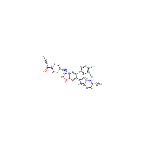 CC#CC(=O)N1CCC(N[C@H]2COc3cc(-c4nc5ccc(OC)nn5c4-c4cccc(F)c4F)ccc32)CC1